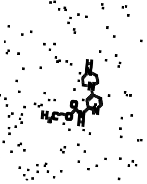 CCOC(=O)Nc1cc(N2CCNCC2)ccn1